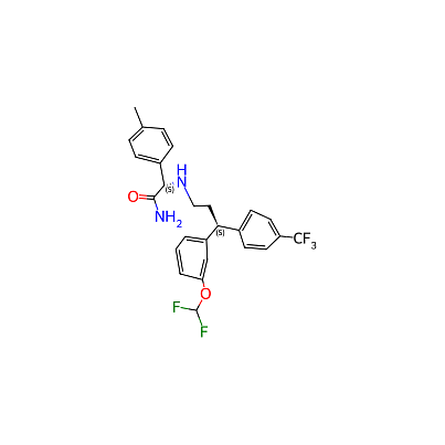 Cc1ccc([C@H](NCC[C@@H](c2ccc(C(F)(F)F)cc2)c2cccc(OC(F)F)c2)C(N)=O)cc1